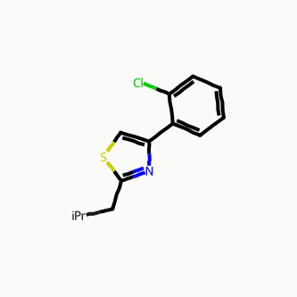 CC(C)Cc1nc(-c2ccccc2Cl)cs1